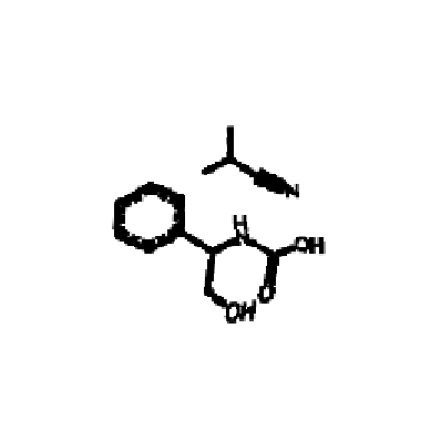 CC(C)C#N.O=C(O)NC(CO)c1ccccc1